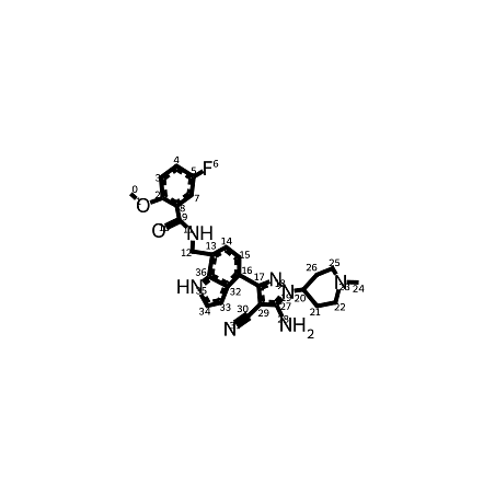 COc1ccc(F)cc1C(=O)NCc1ccc(-c2nn(C3CCN(C)CC3)c(N)c2C#N)c2cc[nH]c12